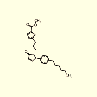 CCCCCCc1ccc([C@H]2C=CC(=O)[C@@H]2CCCc2ccc(C(=O)OC)s2)cc1